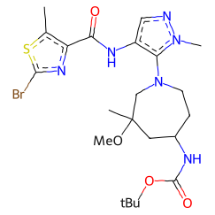 COC1(C)CC(NC(=O)OC(C)(C)C)CCN(c2c(NC(=O)c3nc(Br)sc3C)cnn2C)C1